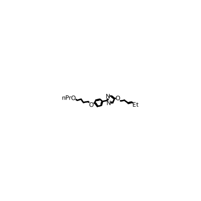 CCC=CCCOc1cnc(-c2ccc(OCCCCOCCC)cc2)nc1